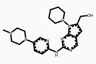 CN1CCN(c2ccc(Nc3ncc4cc(CO)n(N5CCCCC5)c4n3)nc2)CC1